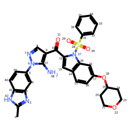 Cc1nc2cc(-n3ncc(C(=O)c4cc5ccc(OC6CCOCC6)cc5n4S(=O)(=O)c4ccccc4)c3N)ccc2[nH]1